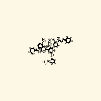 Cc1ccc2c(cnn2C2CCCCO2)c1NC(=O)c1nc(OC[C@@H]2CCCN2C)nc(N2CCN(C(=O)OCc3ccccc3)[C@@H](CC#N)C2)c1N